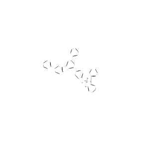 c1ccc(-c2ccc3sc4c(-c5ccc(-c6nc7ccccc7n6-c6ccccc6)cc5)cc(-c5ccccc5)cc4c3c2)cc1